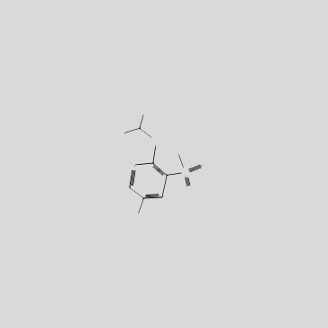 O=S(=O)(Cl)c1cc(F)cnc1OC(F)F